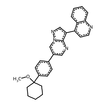 COC1(c2ccc(-c3cnc4c(-c5ccnc6ccccc56)cnn4c3)cc2)CCCCC1